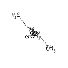 CCCCCCCCCCCCCCCC(=O)OCC(COC(=O)CCCCCCCCCCCCCCC)OC(=O)C(C)CC=O